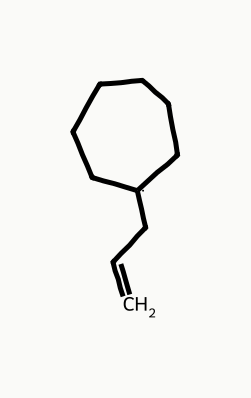 C=CC[C]1CCCCCC1